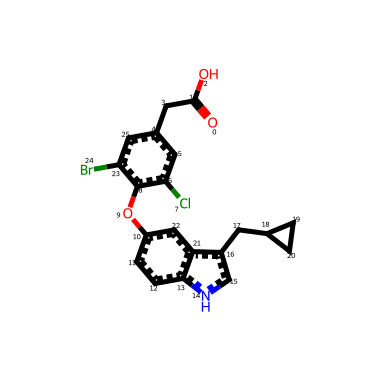 O=C(O)Cc1cc(Cl)c(Oc2ccc3[nH]cc(CC4CC4)c3c2)c(Br)c1